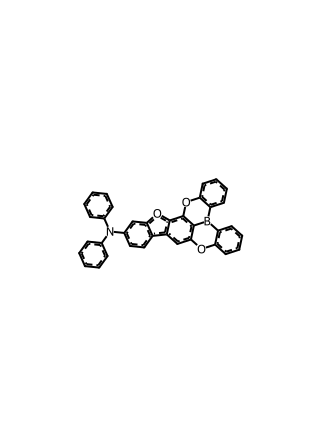 c1ccc(N(c2ccccc2)c2ccc3c(c2)oc2c4c5c(cc23)Oc2ccccc2B5c2ccccc2O4)cc1